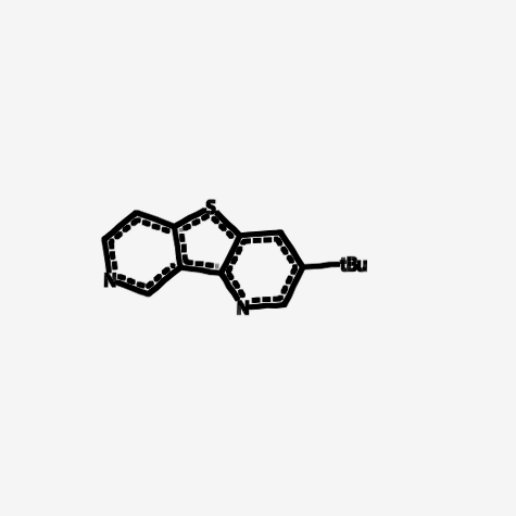 CC(C)(C)c1cnc2c(c1)sc1ccncc12